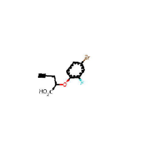 C#CCC(Oc1ccc(Br)cc1F)C(=O)O